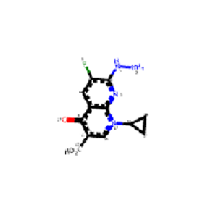 NNc1nc2c(cc1F)c(=O)c(C(=O)O)cn2C1CC1